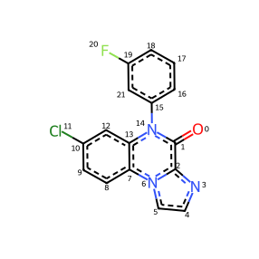 O=c1c2nccn2c2ccc(Cl)cc2n1-c1cccc(F)c1